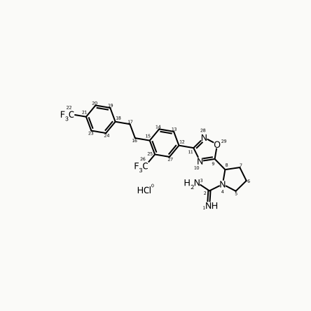 Cl.N=C(N)N1CCCC1c1nc(-c2ccc(CCc3ccc(C(F)(F)F)cc3)c(C(F)(F)F)c2)no1